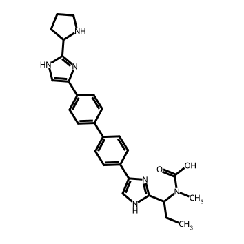 CCC(c1nc(-c2ccc(-c3ccc(-c4c[nH]c(C5CCCN5)n4)cc3)cc2)c[nH]1)N(C)C(=O)O